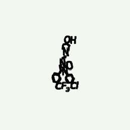 O=C1N(CCN2CCC(O)CC2)CC(c2cccc(C(F)(F)F)c2)N1c1ccc(Cl)cc1